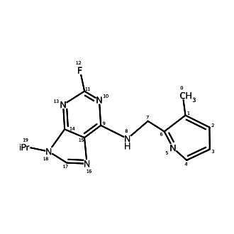 Cc1cccnc1CNc1nc(F)nc2c1ncn2C(C)C